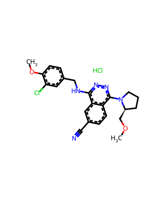 COC[C@@H]1CCCN1c1nnc(NCc2ccc(OC)c(Cl)c2)c2cc(C#N)ccc12.Cl